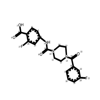 O=C(O)c1ccc(NC(=O)N2CCN(C(=O)c3cccc(F)c3)CC2)cc1F